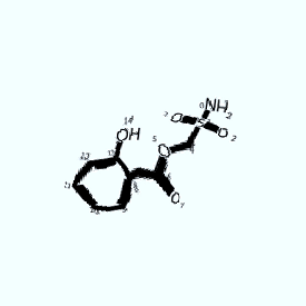 NS(=O)(=O)COC(=O)c1ccccc1O